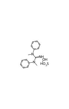 CN(C(=N)N(C)c1ccccc1)c1ccccc1.O=S(=O)(O)O